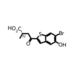 C[C@@H](CC(=O)c1cc2cc(O)c(Br)cc2s1)C(=O)O